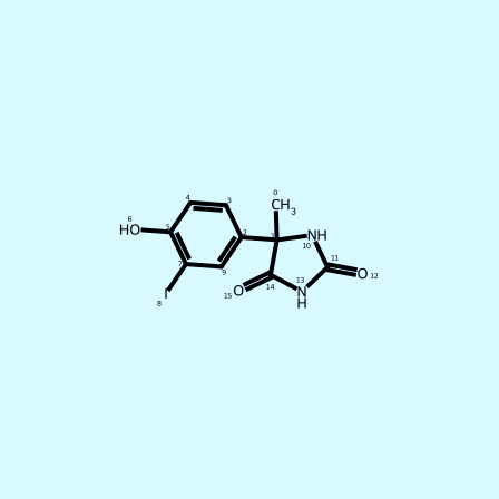 CC1(c2ccc(O)c(I)c2)NC(=O)NC1=O